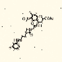 COC(=O)CC(NC(=O)CNC(=O)CCCCNc1cc(C)ccn1)c1ccc(C)c([N+](=O)[O-])c1